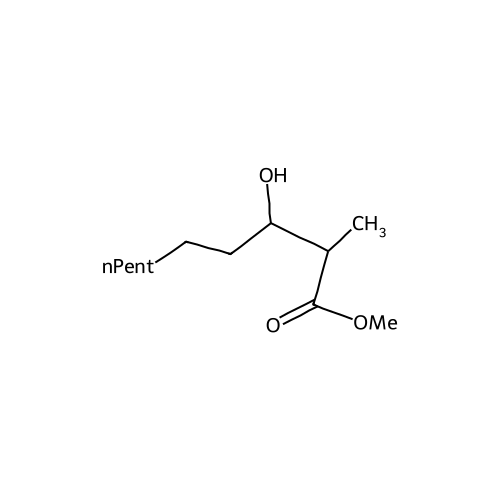 CCCCCCCC(O)C(C)C(=O)OC